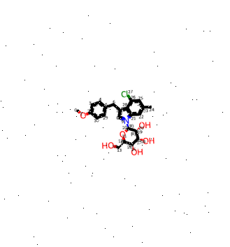 COc1ccc(Cc2cn([C@@H]3O[C@H](CO)[C@@H](O)[C@H](O)[C@H]3O)c3cc(C)cc(Cl)c23)cc1